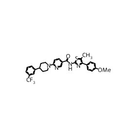 COc1ccc(-c2nc(NC(=O)c3ccc(N4CCC(c5cccc(C(F)(F)F)c5)CC4)nc3)sc2C)cc1